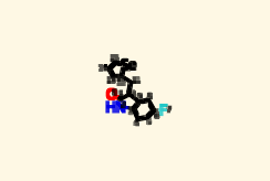 O=C1Nc2ccc(F)cc2C1=Cc1ccc[se]1